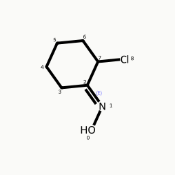 O/N=C1\CCCCC1Cl